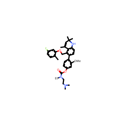 CCN(CCN(C)C)C(=O)Oc1ccc(-c2ccc3c(c2COc2cc(F)ccc2C)C(C)=CC(C)(C)N3)c(OC)c1